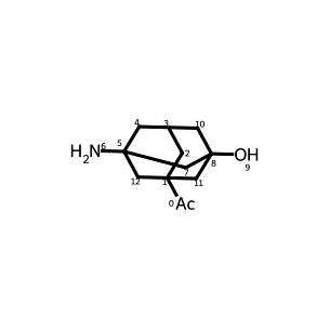 CC(=O)C12CC3CC(N)(CC(O)(C3)C1)C2